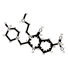 COCCn1c(CN2CCN(C)CC2)nc2ccc([N+](=O)[O-])cc2c1=O